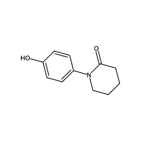 O=C1CCCCN1c1ccc(O)cc1